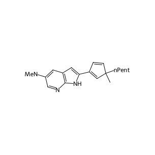 CCCCCC1(C)C=CC(c2cc3cc(NC)cnc3[nH]2)=C1